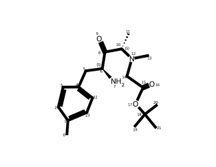 Cc1ccc(C[C@H](N)C(=O)[C@H](C)N(C)CC(=O)OC(C)(C)C)cc1